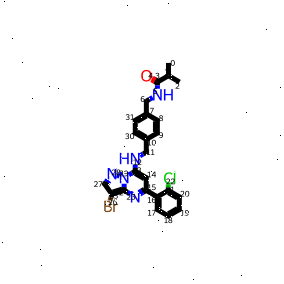 CC(C)C(=O)NCc1ccc(CNc2cc(-c3ccccc3Cl)nc3c(Br)cnn23)cc1